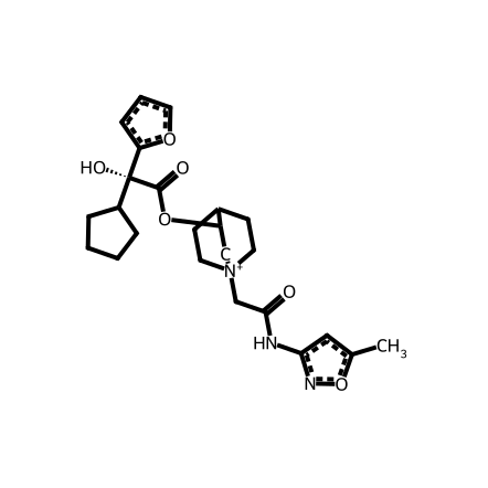 Cc1cc(NC(=O)C[N+]23CCC(CC2)C(OC(=O)[C@](O)(c2ccco2)C2CCCC2)C3)no1